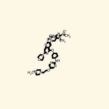 C=[N+]([O-])c1ncc(CN(c2cnc3cc(N4CCOCC4)nc(O[C@H]4CC[C@@H](Nc5ncc(OCCN6CCN(C)CC6)cn5)CC4)c3c2)S(C)(=O)=O)n1C